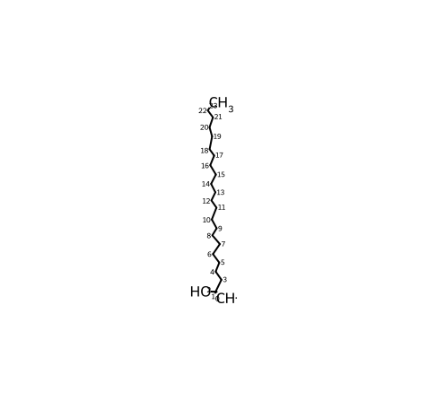 [CH]=C(O)CCCCCCCCCCCCCCCCCCCCC